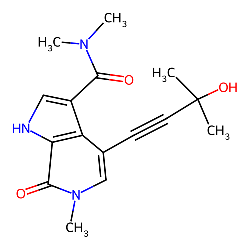 CN(C)C(=O)c1c[nH]c2c(=O)n(C)cc(C#CC(C)(C)O)c12